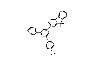 CC1(C)c2ccccc2-c2ccc(-c3cc(-c4ccccc4)nc(-c4ccc(B(O)O)cc4)c3)cc21